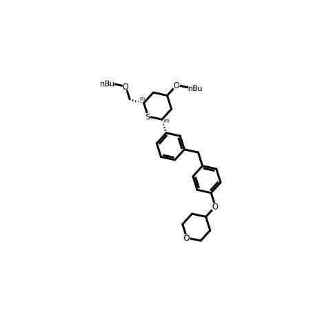 CCCCOC[C@@H]1CC(OCCCC)C[C@H](c2cccc(Cc3ccc(OC4CCOCC4)cc3)c2)S1